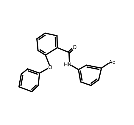 CC(=O)c1cccc(NC(=O)c2ccccc2Oc2ccccc2)c1